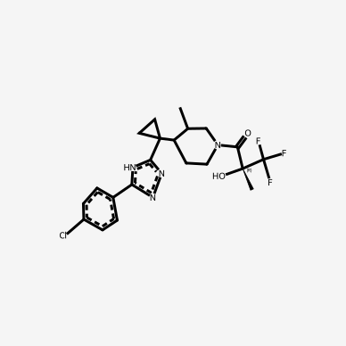 CC1CN(C(=O)[C@@](C)(O)C(F)(F)F)CCC1C1(c2nnc(-c3ccc(Cl)cc3)[nH]2)CC1